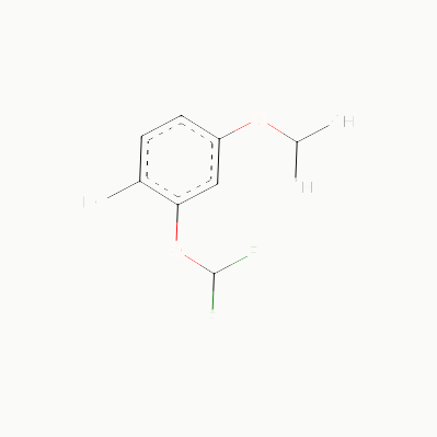 Cc1ccc(OC(C)C)cc1OC(F)F